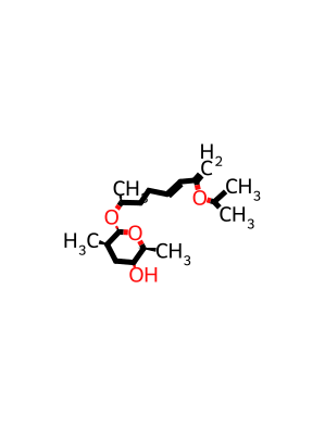 C=C(/C=C/CC[C@@H](C)O[C@@H]1O[C@@H](C)[C@H](O)C[C@H]1C)OC(C)C